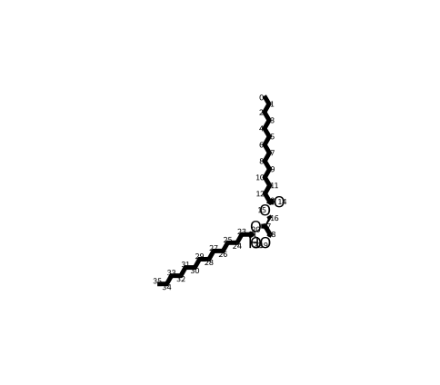 CCCCCCCCCCCCCC(=O)OC[C@@H](CO)OC(=O)CCCCCCCCCCCCC